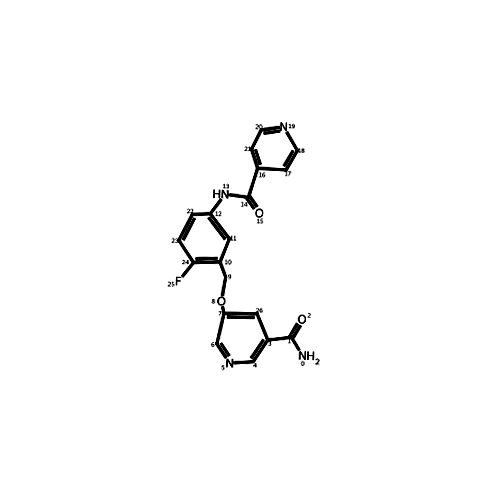 NC(=O)c1cncc(OCc2cc(NC(=O)c3ccncc3)ccc2F)c1